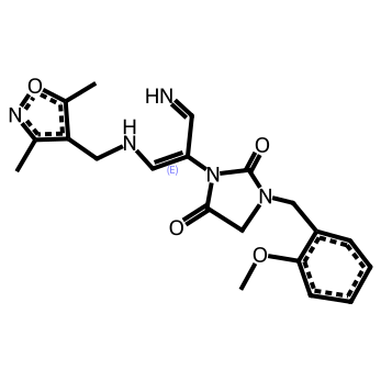 COc1ccccc1CN1CC(=O)N(/C(C=N)=C/NCc2c(C)noc2C)C1=O